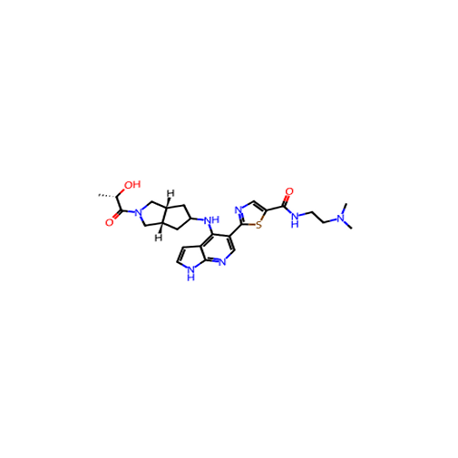 C[C@H](O)C(=O)N1C[C@H]2CC(Nc3c(-c4ncc(C(=O)NCCN(C)C)s4)cnc4[nH]ccc34)C[C@H]2C1